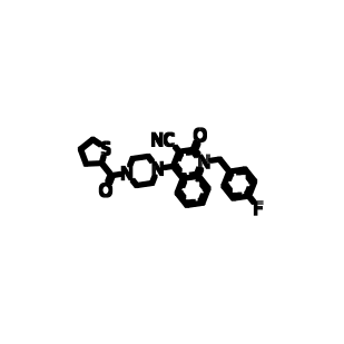 N#Cc1c(N2CCN(C(=O)C3CCCS3)CC2)c2ccccc2n(Cc2ccc(F)cc2)c1=O